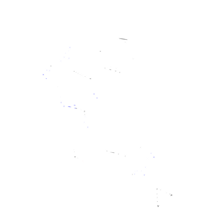 CC1CN(c2nc(-c3ccc(F)cc3F)c3c(ncn3C)n2)CC(c2cnn(C3CC3)c2)O1